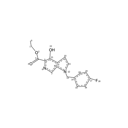 CCOC(=O)c1ncc2c(ccn2Cc2ccc(F)cc2)c1O